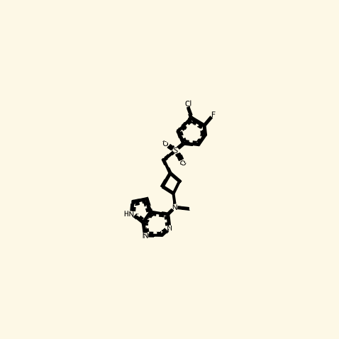 CN(c1ncnc2[nH]ccc12)C1CC(CS(=O)(=O)c2ccc(F)c(Cl)c2)C1